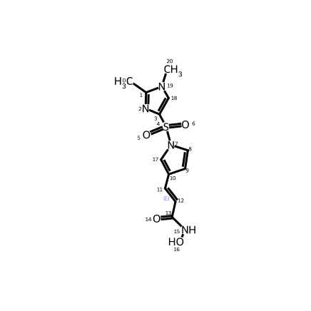 Cc1nc(S(=O)(=O)n2ccc(/C=C/C(=O)NO)c2)cn1C